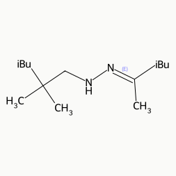 CCC(C)/C(C)=N/NCC(C)(C)C(C)CC